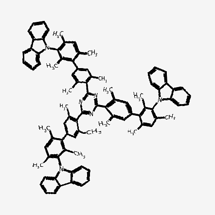 Cc1cc(-c2c(C)cc(C)c(-n3c4ccccc4c4ccccc43)c2C)cc(C)c1-c1nc(-c2c(C)cc(-c3c(C)cc(C)c(-n4c5ccccc5c5ccccc54)c3C)cc2C)nc(-c2c(C)cc(-c3c(C)cc(C)c(-n4c5ccccc5c5ccccc54)c3C)cc2C)n1